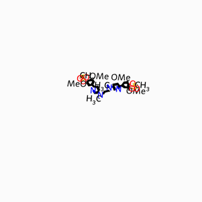 COc1cc(-c2ccc(N(C)CCCN(C)c3ccc(-c4cc(OC)c(OS(C)(=O)=O)c(OC)c4)nc3)cn2)cc(OC)c1OS(C)(=O)=O